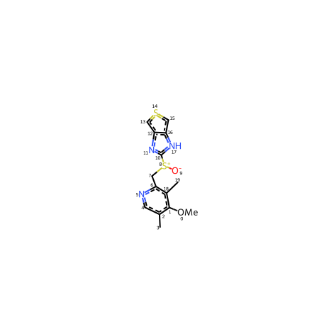 COc1c(C)cnc(C[S+]([O-])c2nc3cscc3[nH]2)c1C